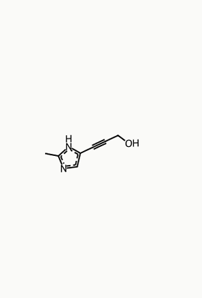 Cc1ncc(C#CCO)[nH]1